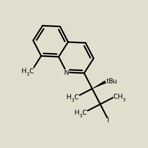 Cc1cccc2ccc([C@](C)(C(C)(C)C)C(C)(C)I)nc12